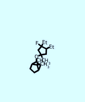 CCC1CC(C)(OC2CC3CCC2C3(C)C)CC1(F)CC